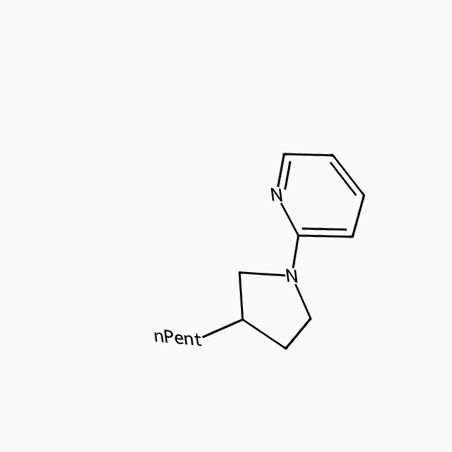 CCCCCC1CCN(c2ccccn2)C1